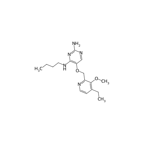 CCCCNc1nc(N)ncc1OCc1nccc(CC)c1OC